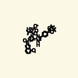 COC(=O)N[C@H](C(=O)N1CN(C(=O)N2Cc3cccc(OC)c3C2)C[C@H]1c1nc(-c2ccc(B3OC(C)(C)C(C)(C)O3)cc2)c[nH]1)C(C)C